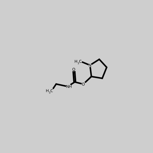 CCNC(=O)O[C]1CCCN1C